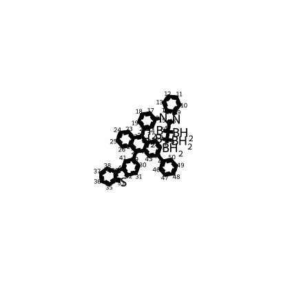 BC(B)(B)C(B)(B)c1nc2ccccc2n1-c1cccc(-c2c3ccccc3c(-c3ccc4sc5ccccc5c4c3)c3cc(-c4ccccc4)ccc23)c1